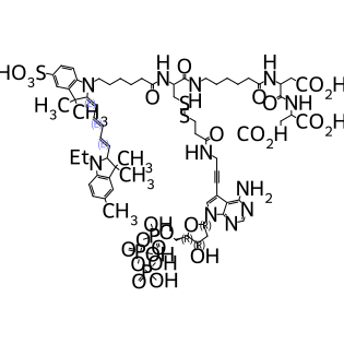 CCN1c2ccc(C)cc2C(C)(C)C1/C=C/C=C/C=C1/N(CCCCCC(=O)NC(CSSCCC(=O)NCC#Cc2cn([C@H]3C[C@@H](O)[C@@H](COP(=O)(O)OP(=O)(O)OP(=O)(O)O)O3)c3ncnc(N)c23)C(=O)NCCCCCC(=O)NC(CC(=O)O)C(=O)NC(CC(=O)O)C(=O)O)c2ccc(S(=O)(=O)O)cc2C1(C)C